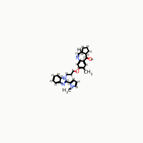 Cc1cc2c(cc1OCCCn1c(-c3cccn3C)nc3ccccc31)N=C[C@@H]1CCCC1C2=O